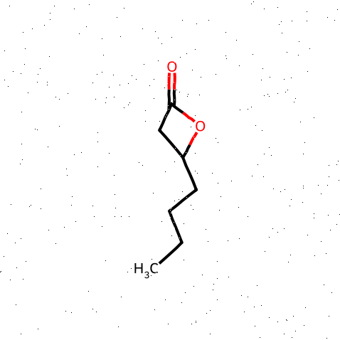 CCCCC1CC(=O)O1